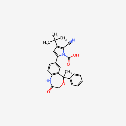 CC(C)(C)c1cc(-c2ccc3c(c2)C(C)(c2ccccc2)OCC(=O)N3)n(C(=O)O)c1C#N